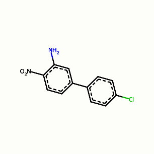 Nc1cc(-c2ccc(Cl)cc2)ccc1[N+](=O)[O-]